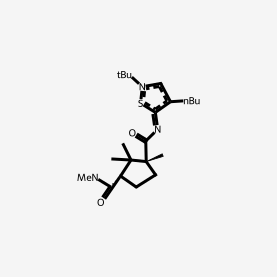 CCCCc1cn(C(C)(C)C)s/c1=N\C(=O)[C@]1(C)CC[C@H](C(=O)NC)C1(C)C